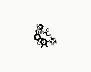 COc1ccc(Cn2nccc2NC(=O)CSc2nnnn2-c2cccc(C)c2C)cc1C